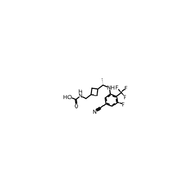 C[C@H](Nc1cc(C#N)cc(F)c1C(F)(F)F)C1CC(CNC(=O)O)C1